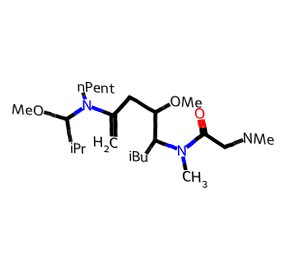 C=C(CC(OC)C(C(C)CC)N(C)C(=O)CNC)N(CCCCC)C(OC)C(C)C